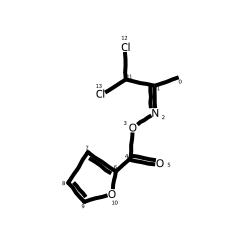 CC(=NOC(=O)c1ccco1)C(Cl)Cl